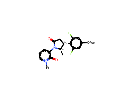 CCn1cccc(N2C(=O)C[C@H](c3c(F)cc(OC)cc3F)[C@H]2C)c1=O